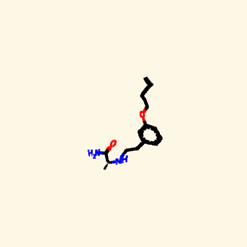 CCCCOc1cccc(CCN[C@H](C)C(N)=O)c1